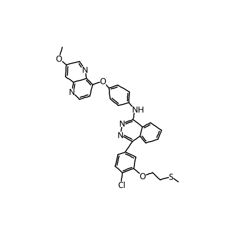 COc1cnc2c(Oc3ccc(Nc4nnc(-c5ccc(Cl)c(OCCSC)c5)c5ccccc45)cc3)ccnc2c1